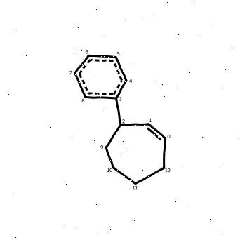 C1=CC(c2ccccc2)CCCC1